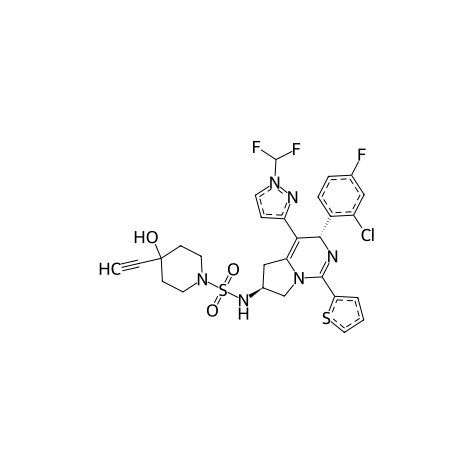 C#CC1(O)CCN(S(=O)(=O)N[C@H]2CC3=C(c4ccn(C(F)F)n4)[C@H](c4ccc(F)cc4Cl)N=C(c4cccs4)N3C2)CC1